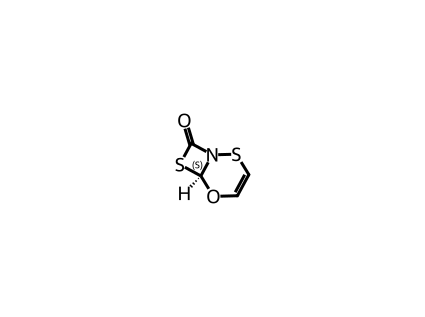 O=C1S[C@@H]2OC=CSN12